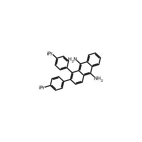 CC(C)c1ccc(-c2ccc3c(N)c4ccccc4c(N)c3c2-c2ccc(C(C)C)cc2)cc1